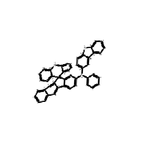 c1ccc(N(c2ccc3c(c2)C2(c4ccccc4Oc4ccccc42)c2cc4ccccc4cc2-3)c2ccc3oc4ccccc4c3c2)cc1